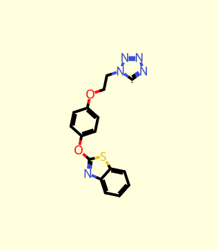 [c]1nnnn1CCOc1ccc(Oc2nc3ccccc3s2)cc1